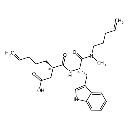 C=CCCC[C@H](CC(=O)O)C(=O)N[C@@H](Cc1c[nH]c2ccccc12)C(=O)N(C)CCCC=C